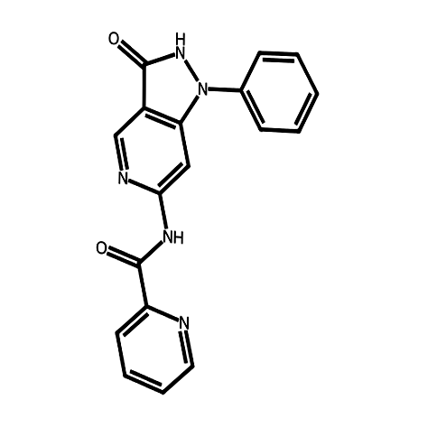 O=C(Nc1cc2c(cn1)c(=O)[nH]n2-c1ccccc1)c1ccccn1